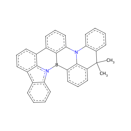 CC1(C)c2ccccc2N2c3cccc4c3B(c3cccc1c32)n1c2ccccc2c2cccc-4c21